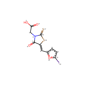 O=C(O)CN1C(=O)C(=Cc2ccc(I)o2)SC1=S